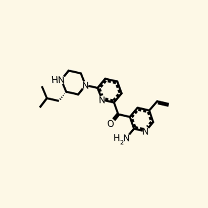 C=Cc1cnc(N)c(C(=O)c2cccc(N3CCN[C@@H](CC(C)C)C3)n2)c1